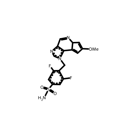 COC1=CC2N=Cc3ncn(Cc4c(F)cc(S(N)(=O)=O)cc4F)c3C2=C1